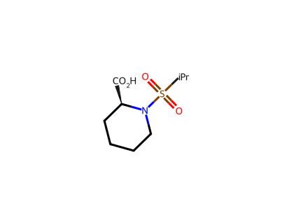 CC(C)S(=O)(=O)N1CCCC[C@H]1C(=O)O